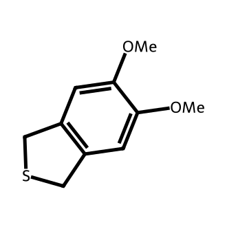 COc1cc2c(cc1OC)CSC2